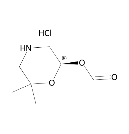 CC1(C)CNC[C@@H](OC=O)O1.Cl